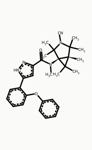 CN(C(=O)c1cc(-c2ccccc2Oc2ccccc2)[nH]n1)[C@@]12C(C)(C)N(C#N)C(C)(C)[C@]1(C)C2(C)C